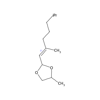 C/C(=C\C1OCC(C)O1)CCCC(C)C